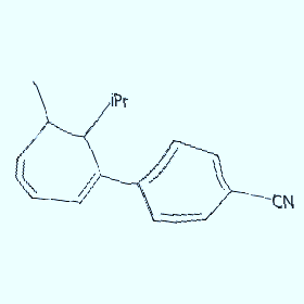 CC(C)C1C(c2ccc(C#N)cc2)=CC=CC1C